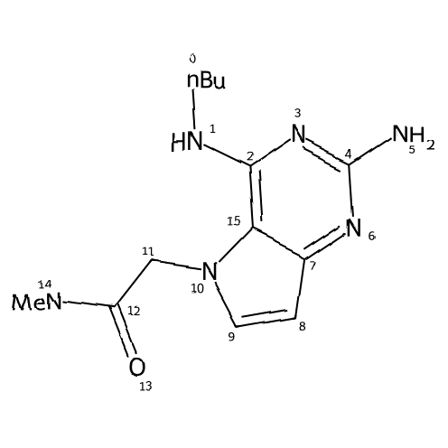 CCCCNc1nc(N)nc2ccn(CC(=O)NC)c12